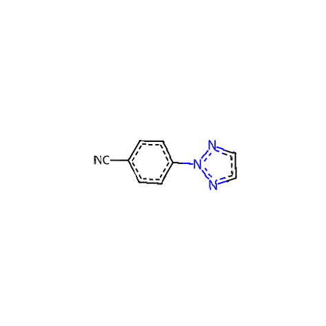 N#Cc1ccc(-n2nccn2)cc1